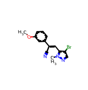 COc1cccc(/C(C#N)=C/c2c(Br)cnn2C)c1